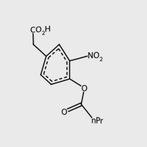 CCCC(=O)Oc1ccc(CC(=O)O)cc1[N+](=O)[O-]